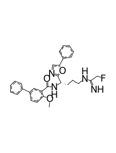 COc1ccc(-c2ccccc2)cc1C(=O)N[C@@H](CCCNC(=N)CF)c1ncc(-c2ccccc2)o1